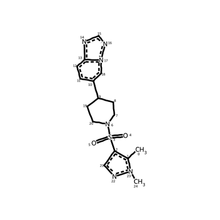 Cc1c(S(=O)(=O)N2CCC(c3ccc4ncnn4c3)CC2)cnn1C